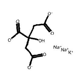 O=C([O-])CC(O)(CC(=O)[O-])C(=O)[O-].[K+].[Na+].[Na+]